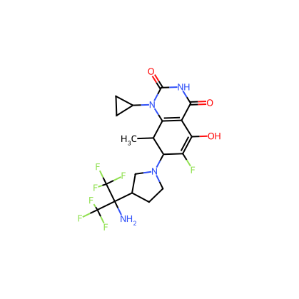 CC1c2c(c(=O)[nH]c(=O)n2C2CC2)C(O)=C(F)C1N1CCC(C(N)(C(F)(F)F)C(F)(F)F)C1